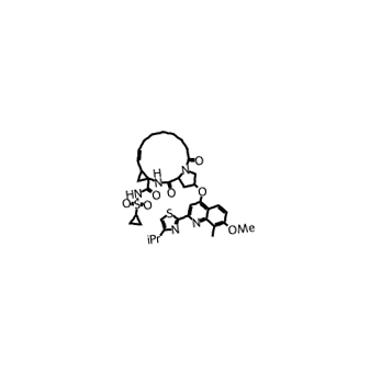 COc1ccc2c(OC3CC4C(=O)NC5(C(=O)NS(=O)(=O)C6CC6)CC5/C=C\CCCCCCC(=O)N4C3)cc(-c3nc(C(C)C)cs3)nc2c1C